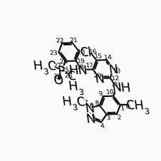 Cc1cc2cnn(C)c2cc1Nc1ncc(Cl)c(Nc2ccccc2P(C)(C)=O)n1